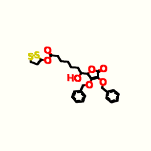 O=C(CCCCCC(O)C1OC(=O)C(OCc2ccccc2)=C1OCc1ccccc1)OC1CCSS1